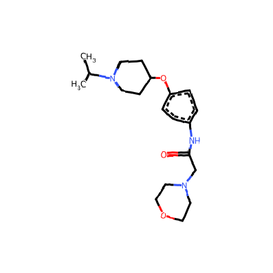 CC(C)N1CCC(Oc2ccc(NC(=O)CN3CCOCC3)cc2)CC1